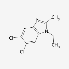 CCn1c(C)nc2cc(Cl)c(Cl)cc21